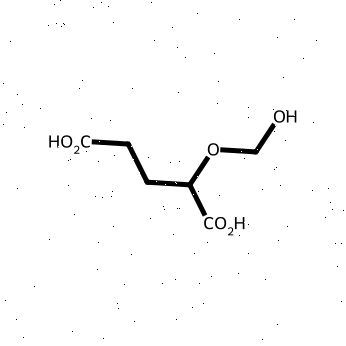 O=C(O)CCC(OCO)C(=O)O